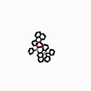 c1ccc(-c2cccc3cccc(-c4ccc(N(c5ccccc5)c5cc6ccccc6c6c5-c5ccccc5[Si]6(c5ccccc5)c5ccccc5)cc4)c23)cc1